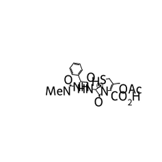 CNC(=O)NC(C(=O)NC1C(=O)N2C(C(=O)O)=C(COC(C)=O)CS[C@@H]12)c1ccccc1